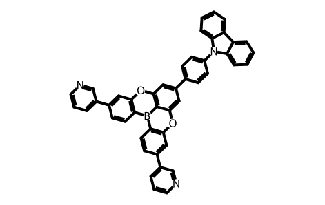 c1cncc(-c2ccc3c(c2)Oc2cc(-c4ccc(-n5c6ccccc6c6ccccc65)cc4)cc4c2B3c2ccc(-c3cccnc3)cc2O4)c1